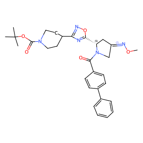 CO/N=C1/C[C@@H](c2nc(C3CCN(C(=O)OC(C)(C)C)CC3)no2)N(C(=O)c2ccc(-c3ccccc3)cc2)C1